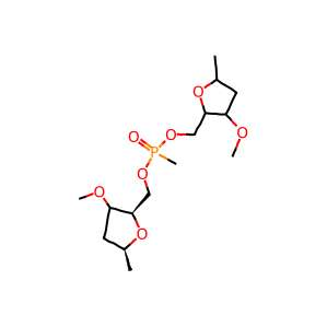 COC1CC(C)OC1COP(C)(=O)OC[C@H]1O[C@@H](C)CC1OC